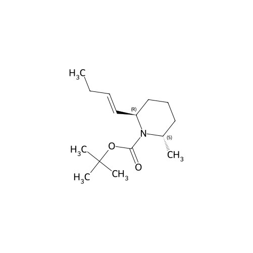 CCC=C[C@H]1CCC[C@H](C)N1C(=O)OC(C)(C)C